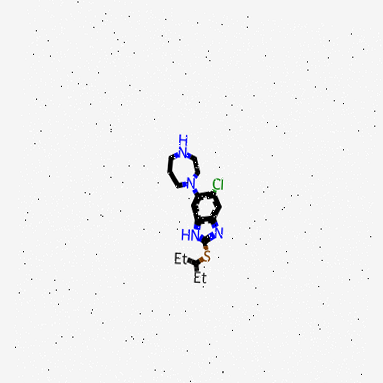 CCC(CC)Sc1nc2cc(Cl)c(N3CCCNCC3)cc2[nH]1